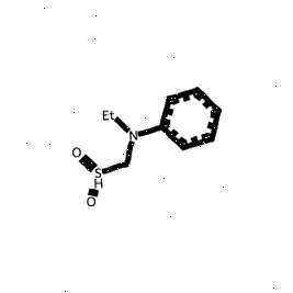 CCN(C[SH](=O)=O)c1c[c]ccc1